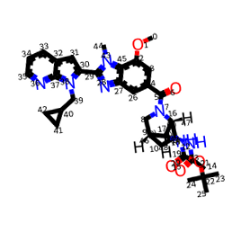 COc1cc(C(=O)N2C[C@H]3C[C@H](NC(C)=O)[C@@H]2[C@@H]3NC(=O)OC(C)(C)C)cc2nc(-c3cc4cccnc4n3CC3CC3)n(C)c12